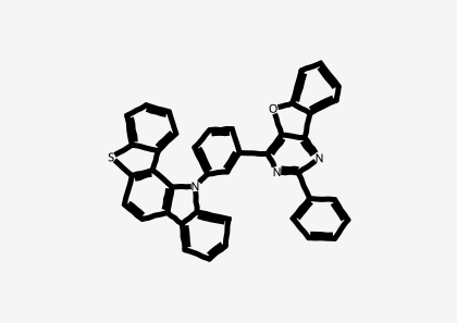 c1ccc(-c2nc(-c3cccc(-n4c5ccccc5c5ccc6sc7ccccc7c6c54)c3)c3oc4ccccc4c3n2)cc1